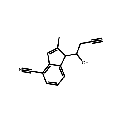 C#CCC(O)C1C(C)=Cc2c(C#N)cccc21